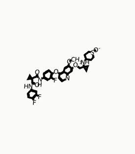 COc1cc2c(Oc3ccc(NC(=O)C4(C(=O)Nc5ccc(F)c(F)c5)CC4)cc3F)ccnc2cc1OCC1(NC2CC[S+]([O-])CC2)CC1